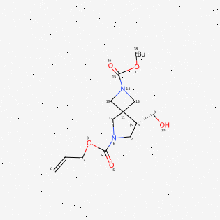 C=CCOC(=O)N1C[C@@H](CO)C2(C1)CN(C(=O)OC(C)(C)C)C2